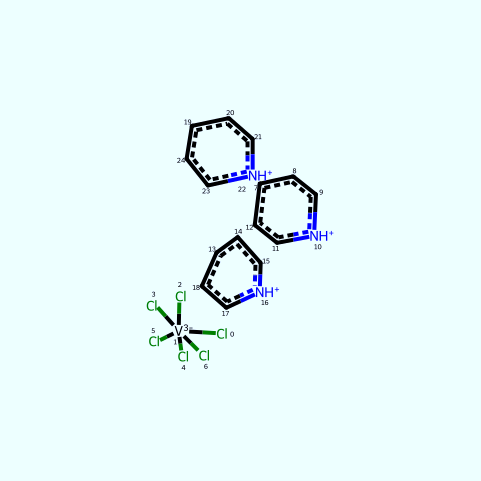 [Cl][V-3]([Cl])([Cl])([Cl])([Cl])[Cl].c1cc[nH+]cc1.c1cc[nH+]cc1.c1cc[nH+]cc1